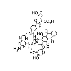 CC(=O)[C@]1(N)Cc2c(O)c3c(c(O)c2[C@@H](O[C@H]2C[C@H](O)[C@H](O)CO2)C1)C(=O)c1ccccc1C3=O.Nc1nc(N)c2nc(CNc3ccc(C(=O)NC(CCC(=O)O)C(=O)O)cc3)cnc2n1